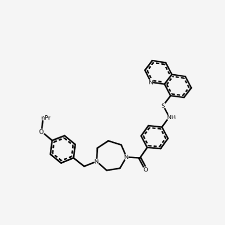 CCCOc1ccc(CN2CCCN(C(=O)c3ccc(NSc4cccc5cccnc45)cc3)CC2)cc1